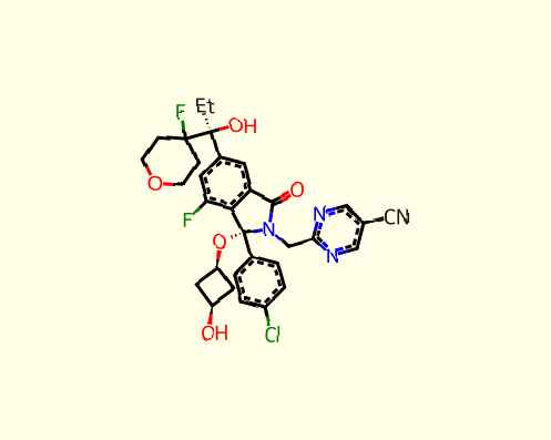 CC[C@](O)(c1cc(F)c2c(c1)C(=O)N(Cc1ncc(C#N)cn1)[C@@]2(O[C@H]1C[C@@H](O)C1)c1ccc(Cl)cc1)C1(F)CCOCC1